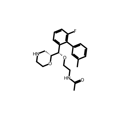 CC(=O)NCCO[C@@H](c1cccc(F)c1-c1cccc(C)c1)[C@H]1CNCCO1